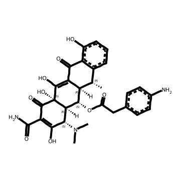 C[C@H]1c2cccc(O)c2C(=O)C2=C(O)[C@]3(O)C(=O)C(C(N)=O)=C(O)[C@@H](N(C)C)[C@@H]3[C@@H](OC(=O)Cc3ccc(N)cc3)[C@@H]21